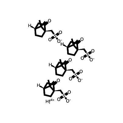 CC1(C)[C@@H]2CC[C@@]1(CS(=O)(=O)[O-])C(=O)C2.CC1(C)[C@@H]2CC[C@@]1(CS(=O)(=O)[O-])C(=O)C2.CC1(C)[C@@H]2CC[C@@]1(CS(=O)(=O)[O-])C(=O)C2.CC1(C)[C@@H]2CC[C@@]1(CS(=O)(=O)[O-])C(=O)C2.[Hf+4]